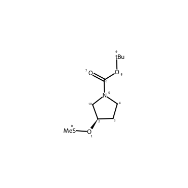 CSO[C@@H]1CCN(C(=O)OC(C)(C)C)C1